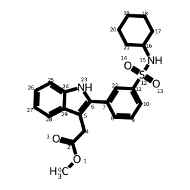 COC(=O)Cc1c(-c2cccc(S(=O)(=O)NC3CCCCC3)c2)[nH]c2ccccc12